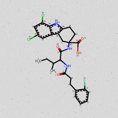 CCC(C)C(NC(=O)CCc1ccccc1F)C(=O)NC1(C(=O)O)CCc2[nH]c3c(Cl)cc(Cl)cc3c2C1